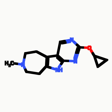 CN1CCc2[nH]c3nc(OC4CC4)ncc3c2CC1